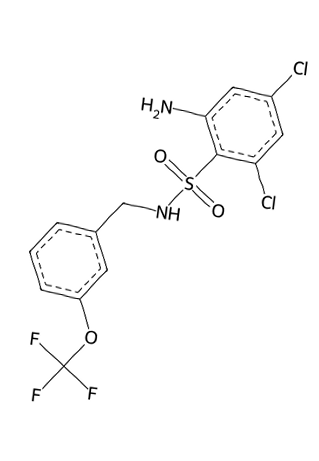 Nc1cc(Cl)cc(Cl)c1S(=O)(=O)NCc1cccc(OC(F)(F)F)c1